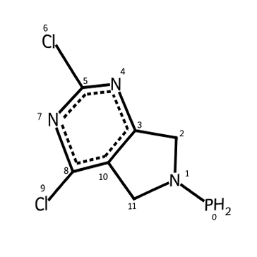 PN1Cc2nc(Cl)nc(Cl)c2C1